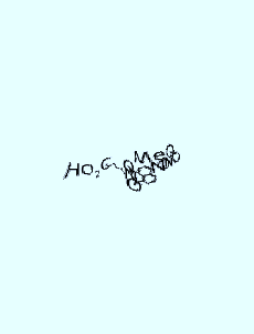 COc1ccccc1N1CCN(c2ccc3c4c(cccc24)C(=O)N(CCCCCC(=O)O)C3=O)CC1